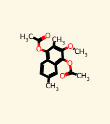 COc1c(C)c(OC(C)=O)c2ccc(C)cc2c1OC(C)=O